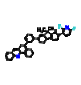 CC1(C)c2cc(-c3cccc(-c4cc5cc6ccccc6nc5c5ccccc45)c3)ccc2-c2ccc(-c3ccc(F)nc3F)cc21